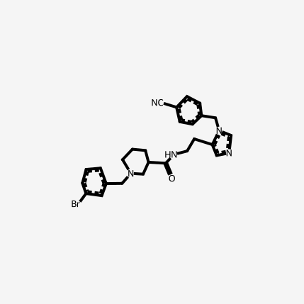 N#Cc1ccc(Cn2cncc2CCNC(=O)C2CCCN(Cc3cccc(Br)c3)C2)cc1